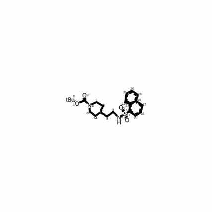 CC(C)(C)OC(=O)N1CCC(CCNS(=O)(=O)c2cccc3ccccc23)CC1